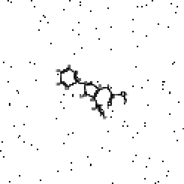 COC(=O)Cc1cc(-c2ccccc2)sc1[N+]#N